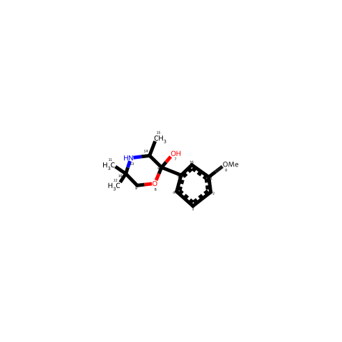 COc1cccc(C2(O)OCC(C)(C)NC2C)c1